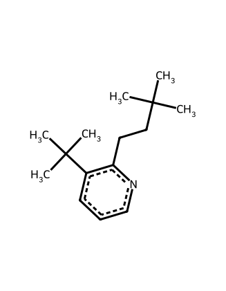 CC(C)(C)CCc1ncccc1C(C)(C)C